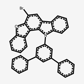 Brc1cc2c3ccccc3n(-c3cc(-c4ccccc4)cc(-c4ccccc4)c3)c2c2c1oc1ccccc12